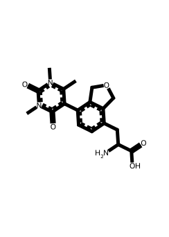 Cc1c(-c2ccc(CC(N)C(=O)O)c3c2COC3)c(=O)n(C)c(=O)n1C